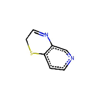 C1=Nc2cnccc2SC1